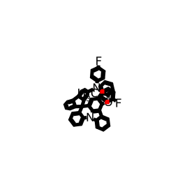 CC12C=C3c4c(c5ccccc5n4-c4ccccc4C34c3ccccc3-c3ccc(N(c5ccc(F)cc5)c5ccc(F)cc5)cc34)C1Oc1ccccc12